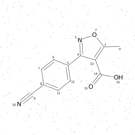 Cc1onc(-c2ccc(C#N)cc2)c1C(=O)O